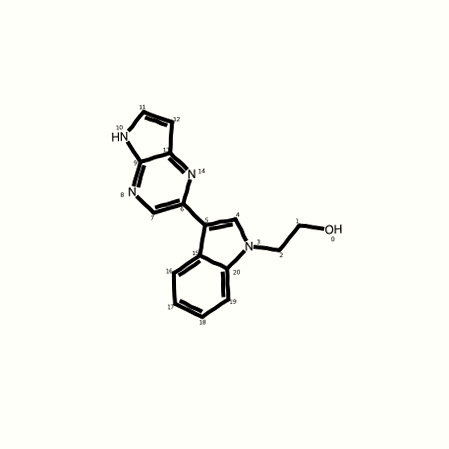 OCCn1cc(-c2cnc3[nH]ccc3n2)c2ccccc21